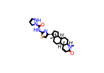 CN1C(=O)C=C[C@]2(C)[C@H]3CC[C@]4(C)[C@@H](c5csc(NC(=O)N6CC=CN6)n5)CC[C@H]4[C@@H]3CC[C@@H]12